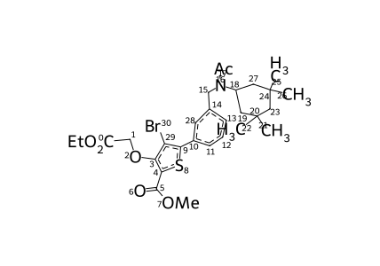 CCOC(=O)COc1c(C(=O)OC)sc(-c2cccc(CN(C(C)=O)C3CC(C)(C)CC(C)(C)C3)c2)c1Br